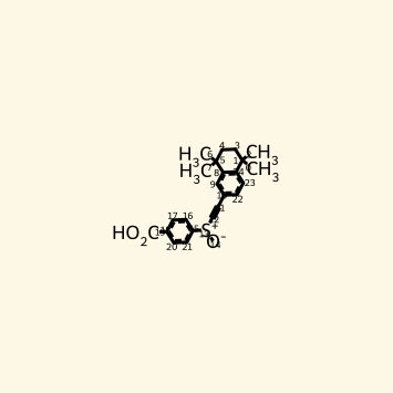 CC1(C)CCC(C)(C)c2cc(C#C[S+]([O-])c3ccc(C(=O)O)cc3)ccc21